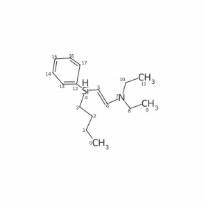 CCCC[SiH](C=CN(CC)CC)c1ccccc1